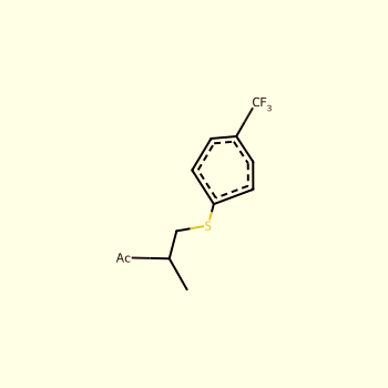 CC(=O)C(C)CSc1ccc(C(F)(F)F)cc1